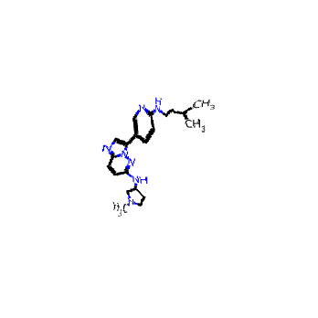 CC(C)CCNc1ccc(-c2cnc3ccc(NC4CCN(C)C4)nn23)cn1